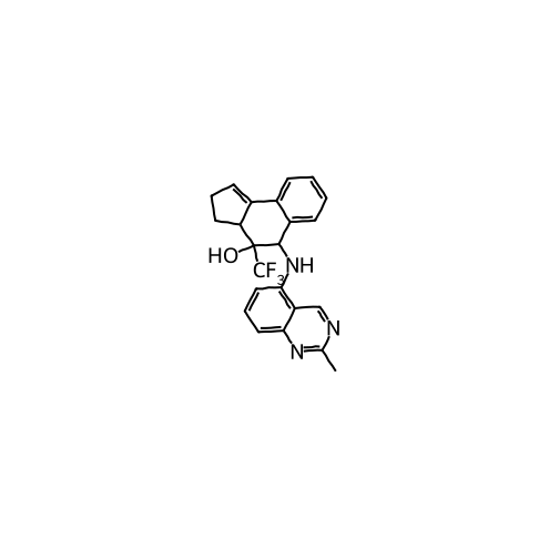 Cc1ncc2c(NC3c4ccccc4C4=CCCC4C3(O)C(F)(F)F)cccc2n1